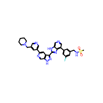 CS(=O)(=O)NCc1cc(F)cc(-c2cncc3[nH]c(-c4n[nH]c5cnc(-c6cncc(CN7CCCCC7)c6)cc45)nc23)c1